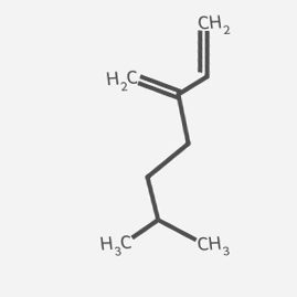 C=CC(=C)CCC(C)C